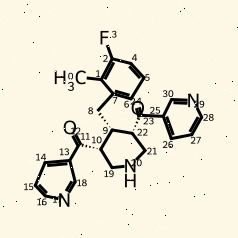 Cc1c(F)cccc1C[C@H]1[C@@H](C(=O)c2cccnc2)CNC[C@H]1C(=O)c1cccnc1